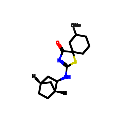 COC1CCCC2(C1)SC(N[C@@H]1C[C@H]3CC[C@@H]1C3)=NC2=O